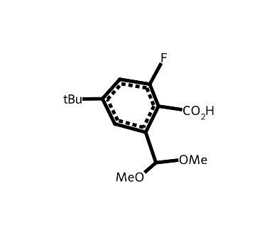 COC(OC)c1cc(C(C)(C)C)cc(F)c1C(=O)O